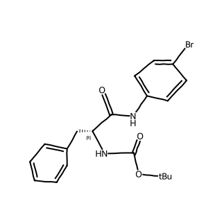 CC(C)(C)OC(=O)N[C@H](Cc1ccccc1)C(=O)Nc1ccc(Br)cc1